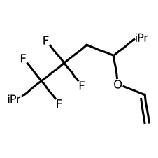 C=COC(CC(F)(F)C(F)(F)C(C)C)C(C)C